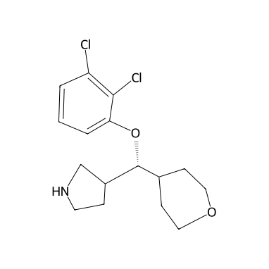 Clc1cccc(O[C@H](C2CCOCC2)C2CCNC2)c1Cl